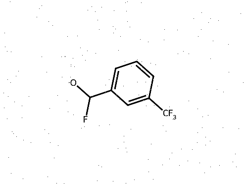 [O]C(F)c1cccc(C(F)(F)F)c1